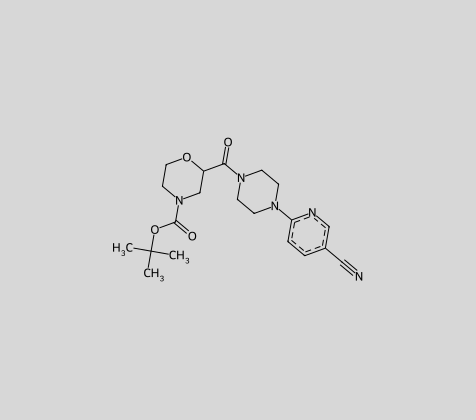 CC(C)(C)OC(=O)N1CCOC(C(=O)N2CCN(c3ccc(C#N)cn3)CC2)C1